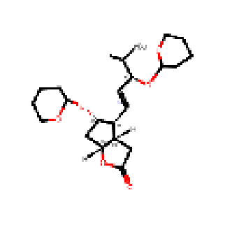 CCCCC(C)[C@H](/C=C/[C@H]1[C@@H]2CC(=O)O[C@@H]2C[C@@H]1OC1CCCCO1)OC1CCCCO1